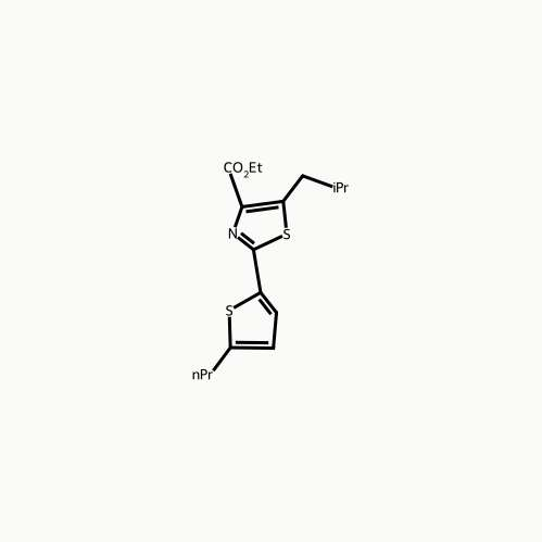 CCCc1ccc(-c2nc(C(=O)OCC)c(CC(C)C)s2)s1